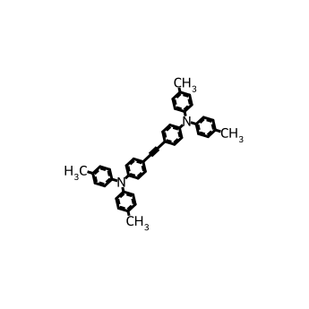 Cc1ccc(N(c2ccc(C)cc2)c2ccc(C#Cc3ccc(N(c4ccc(C)cc4)c4ccc(C)cc4)cc3)cc2)cc1